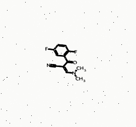 CN(C)/C=C(/C#N)C(=O)c1cc(F)ccc1F